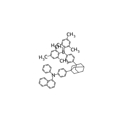 Cc1cc(C)c(B(c2ccc(C34CC5CC(C3)CC(c3ccc(N(c6ccccc6)c6cccc7ccccc67)cc3)(C5)C4)cc2)c2c(C)cc(C)cc2C)c(C)c1